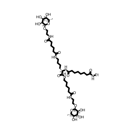 CCNC(=O)CCCCCCC(=O)N[C@@H](CCCCNC(=O)CCCCC(=O)NCCO[C@@H]1O[C@@H](C)[C@@H](O)[C@H](O)[C@@H]1O)C(=O)NCCCCCC(=O)NCCO[C@@H]1O[C@@H](C)[C@@H](O)[C@@H](O)[C@@H]1O